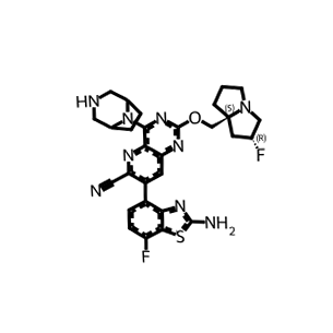 N#Cc1nc2c(N3C4CCC3CNC4)nc(OC[C@@]34CCCN3C[C@H](F)C4)nc2cc1-c1ccc(F)c2sc(N)nc12